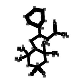 CC(=O)OC(CN1C(C)(C)CS(=O)(=O)CC1(C)C)c1ccccc1